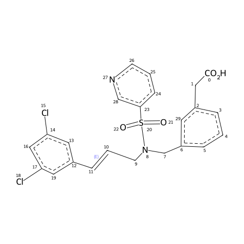 O=C(O)Cc1cccc(CN(C/C=C/c2cc(Cl)cc(Cl)c2)S(=O)(=O)c2cccnc2)c1